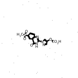 CS(=O)(=O)c1ccc2nc(-n3cc(OC(=O)O)cn3)[nH]c(=O)c2c1